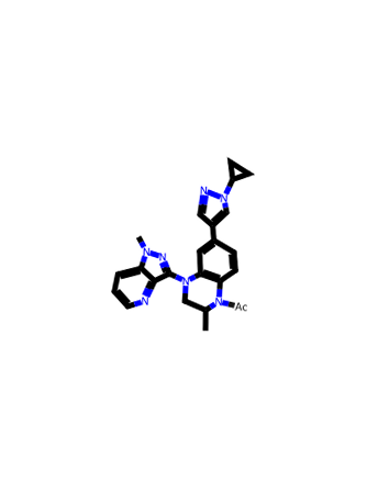 CC(=O)N1c2ccc(-c3cnn(C4CC4)c3)cc2N(c2nn(C)c3cccnc23)CC1C